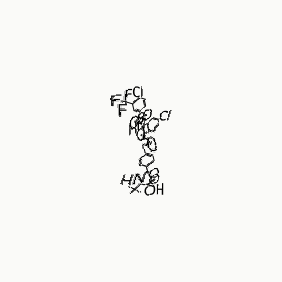 CC(C)(C)C(NC(=O)c1ccc(CS(=O)(=O)c2ccc(Cl)cc2NS(=O)(=O)c2ccc(Cl)c(C(F)(F)F)c2)cc1)C(=O)O